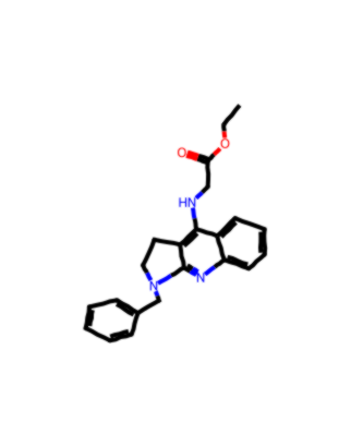 CCOC(=O)CNc1c2c(nc3ccccc13)N(Cc1ccccc1)CC2